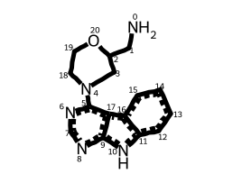 NCC1CN(c2ncnc3[nH]c4ccccc4c23)CCO1